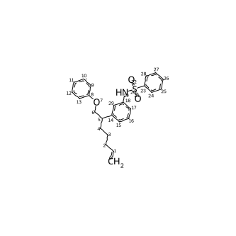 C=CCCCC(COc1c[c]ccc1)c1cccc(NS(=O)(=O)c2ccccc2)c1